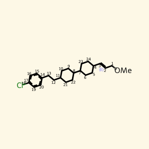 COC/C=C/C1CCC(C2CCC(CCc3ccc(Cl)cc3)CC2)CC1